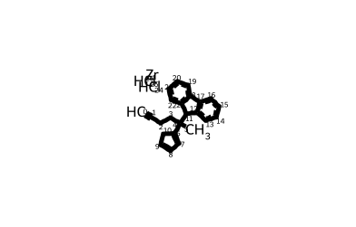 C#CCCC(C)(C1=CC=CC1)C1c2ccccc2-c2ccccc21.Cl.Cl.[Zr]